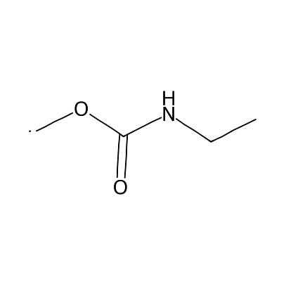 [CH2]OC(=O)NCC